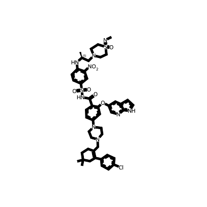 CN=S1(=O)CCN(C[C@H](C)Nc2ccc(S(=O)(=O)NC(=O)c3ccc(N4CCN(CC5=C(c6ccc(Cl)cc6)CC(C)(C)CC5)CC4)cc3Oc3cnc4[nH]ccc4c3)cc2[N+](=O)[O-])CC1